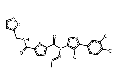 CC=NN(C(=O)c1ccc(C(=O)NCc2ccno2)s1)c1csc(-c2ccc(Cl)c(Cl)c2)c1O